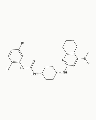 CN(C)c1nc(N[C@H]2CC[C@@H](NC(=S)Nc3cc(Br)ccc3Br)CC2)nc2c1CCCC2